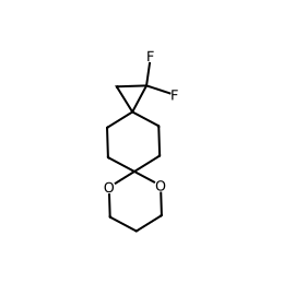 FC1(F)CC12CCC1(CC2)OCCCO1